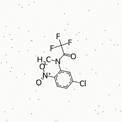 CN(C(=O)C(F)(F)F)c1cc(Cl)ccc1[N+](=O)[O-]